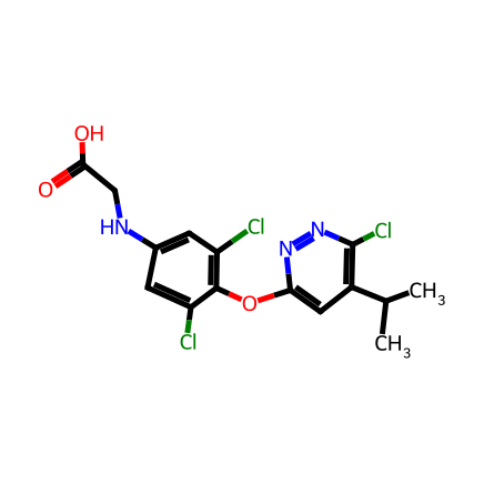 CC(C)c1cc(Oc2c(Cl)cc(NCC(=O)O)cc2Cl)nnc1Cl